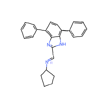 C(=N\C1CCCC1)/c1nc2c(-c3ccccc3)ccc(-c3ccccc3)c2[nH]1